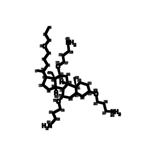 CCCOCCCC(C)C1CC[C@H]2C3[C@H](OCCCN)CC4C[C@H](OCCCN)CC[C@]4(C)[C@H]3C[C@H](OCCCN)[C@]12C